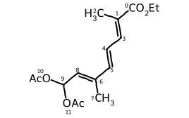 CCOC(=O)C(C)=CC=CC(C)=CC(OC(C)=O)OC(C)=O